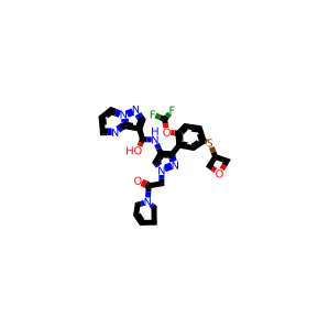 O=C(Cn1cc(NC(O)c2cnn3cccnc23)c(-c2cc(SC3COC3)ccc2OC(F)F)n1)N1CC=CCC1